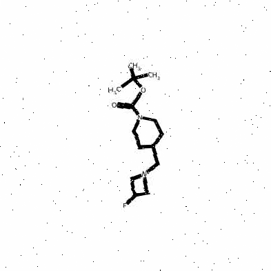 CC(C)(C)OC(=O)N1CCC(CN2CC(F)C2)CC1